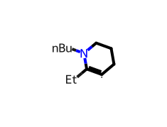 CCCCN1CCC[C]=C1CC